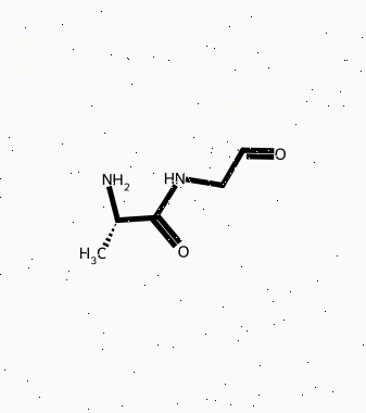 C[C@H](N)C(=O)NC[C]=O